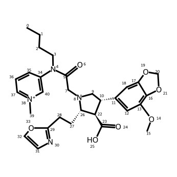 CCCCN(C(=O)CN1C[C@H](c2cc(OC)c3c(c2)OCO3)[C@@H](C(=O)O)[C@@H]1CCc1ncco1)c1ccc[n+](C)c1